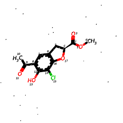 COC(=O)[C@@H]1Cc2cc(C(C)=O)c(O)c(Cl)c2O1